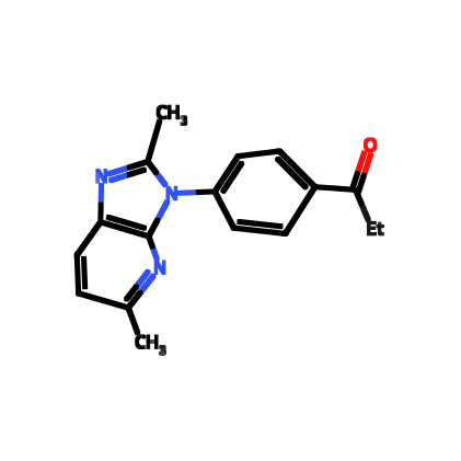 CCC(=O)c1ccc(-n2c(C)nc3ccc(C)nc32)cc1